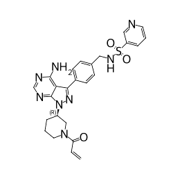 C=CC(=O)N1CCC[C@@H](n2nc(-c3ccc(CNS(=O)(=O)c4cccnc4)cc3)c3c(N)ncnc32)C1